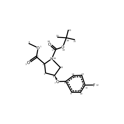 COC(=O)C1C[C@H](Oc2ccc(F)cc2)CN1C(=O)OC(C)(C)C